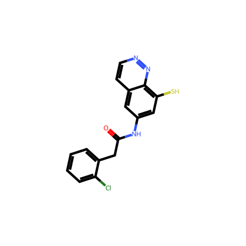 O=C(Cc1ccccc1Cl)Nc1cc(S)c2nnccc2c1